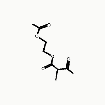 CC(=O)OCCOC(=O)C(C)C(C)=O